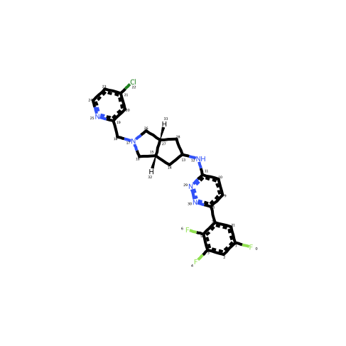 Fc1cc(F)c(F)c(-c2ccc(NC3C[C@@H]4CN(Cc5cc(Cl)ccn5)C[C@@H]4C3)nn2)c1